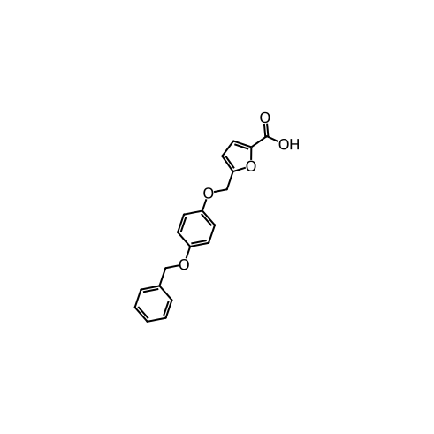 O=C(O)c1ccc(COc2ccc(OCc3ccccc3)cc2)o1